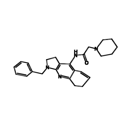 O=C(CN1CCCCC1)Nc1c2c(nc3c1CCN3Cc1ccccc1)CCC=C2